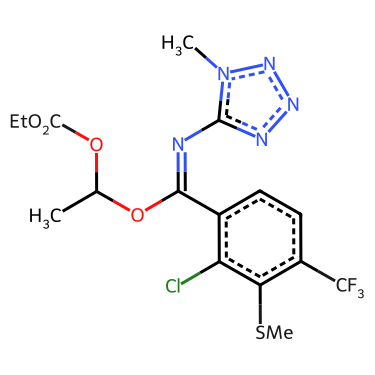 CCOC(=O)OC(C)OC(=Nc1nnnn1C)c1ccc(C(F)(F)F)c(SC)c1Cl